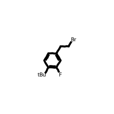 CC(C)(C)c1ccc(CCBr)cc1F